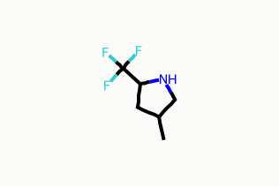 CC1CNC(C(F)(F)F)C1